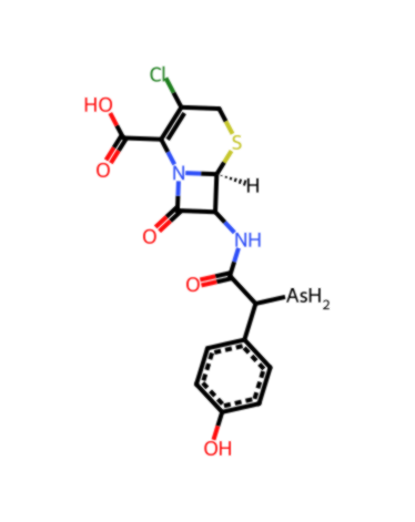 O=C(O)C1=C(Cl)CS[C@H]2C(NC(=O)C([AsH2])c3ccc(O)cc3)C(=O)N12